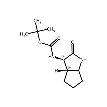 CC(C)(C)OC(=O)N[C@H]1C(=O)NC2CCC[C@@H]21